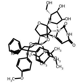 COc1ccc(C(OC[C@]23CO[C@H]([C@H]([N+]4([C@@H]5O[C@H](CO)[C@@H](O)[C@H]5O)C=CC(=O)NC4=O)O2)[C@@H]3OP(OCCC#N)N(C(C)C)C(C)C)(c2ccccc2)c2ccc(OC)cc2)cc1